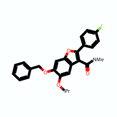 CNC(=O)c1c(-c2ccc(F)cc2)oc2cc(OCc3ccccc3)c(OC(C)C)cc12